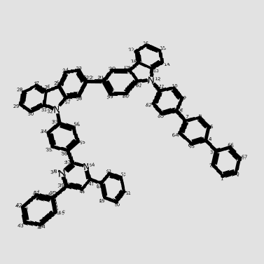 c1ccc(-c2ccc(-c3ccc(-n4c5ccccc5c5cc(-c6ccc7c8ccccc8n(-c8ccc(-c9nc(-c%10ccccc%10)cc(-c%10ccccc%10)n9)cc8)c7c6)ccc54)cc3)cc2)cc1